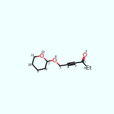 CCC(=O)C#CCOC1CCCCO1